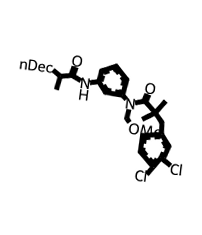 CCCCCCCCCCC(C)C(=O)Nc1cccc(N(COC)C(=O)C(C)(C)Cc2ccc(Cl)c(Cl)c2)c1